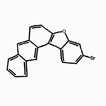 Brc1ccc2c(c1)oc1ccc3cc4ccccc4cc3c12